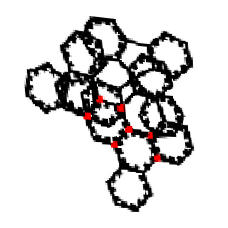 c1ccc(C2(c3ccccc3)c3ccccc3-c3cccc(-n4c5ccccc5c5ccc(-c6ccccc6-c6ccccc6N(c6ccc7ccccc7c6)c6cccc7ccccc67)cc54)c32)cc1